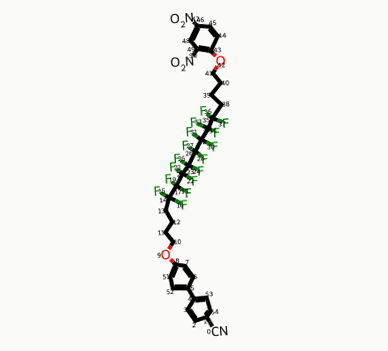 N#Cc1ccc(-c2ccc(OCCCCC(F)(F)C(F)(F)C(F)(F)C(F)(F)C(F)(F)C(F)(F)C(F)(F)C(F)(F)CCCCOc3ccc([N+](=O)[O-])cc3[N+](=O)[O-])cc2)cc1